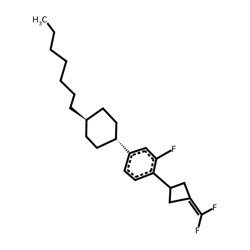 CCCCCCC[C@H]1CC[C@H](c2ccc(C3CC(=C(F)F)C3)c(F)c2)CC1